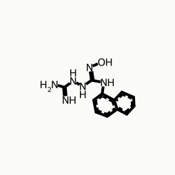 N=C(N)NN/C(=N/O)Nc1cccc2ccccc12